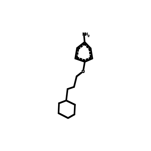 Nc1ccc(OCCCC2CCCCC2)cc1